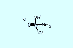 NP(=O)(O)O.[Si]